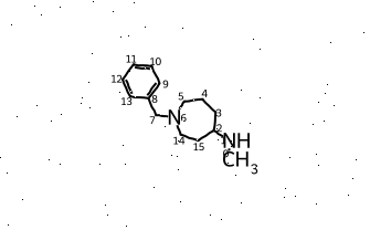 CNC1CCCN(Cc2ccccc2)CC1